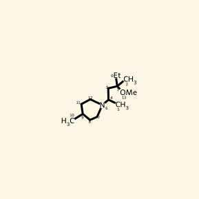 CCC(C)(CC(C)N1CCC(C)CC1)OC